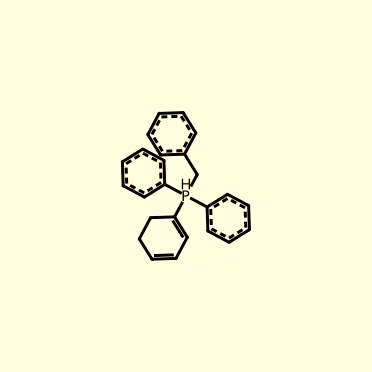 C1=CCCC([PH](Cc2ccccc2)(c2ccccc2)c2ccccc2)=C1